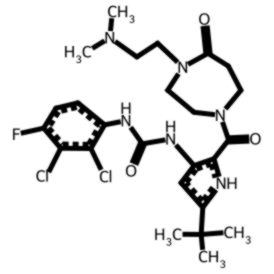 CN(C)CCN1CCN(C(=O)c2[nH]c(C(C)(C)C)cc2NC(=O)Nc2ccc(F)c(Cl)c2Cl)CCC1=O